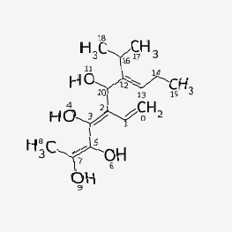 C=C/C(=C(O)\C(O)=C(/C)O)C(O)/C(=C/CC)C(C)C